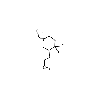 CCSC1CN(CC)CCC1(F)F